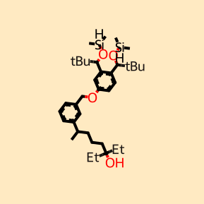 CCC(O)(CC)CCCC(C)c1cccc(COc2ccc(C(O[SiH](C)C)C(C)(C)C)c(C(O[SiH](C)C)C(C)(C)C)c2)c1